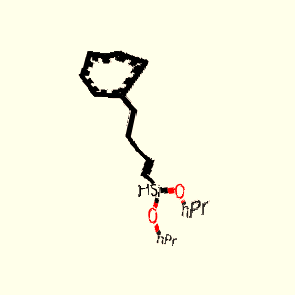 CCCO[SiH](C=CCCc1ccccc1)OCCC